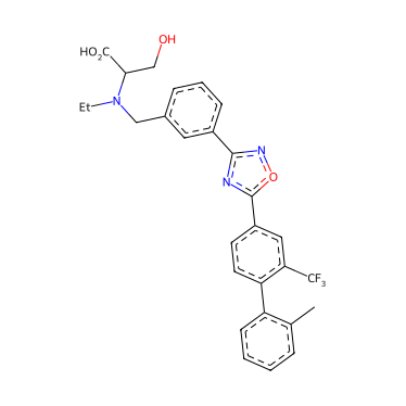 CCN(Cc1cccc(-c2noc(-c3ccc(-c4ccccc4C)c(C(F)(F)F)c3)n2)c1)C(CO)C(=O)O